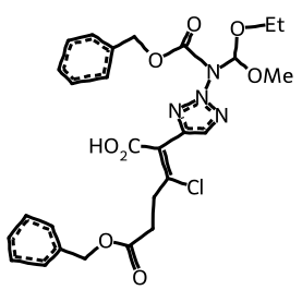 CCOC(OC)N(C(=O)OCc1ccccc1)n1ncc(C(C(=O)O)=C(Cl)CCC(=O)OCc2ccccc2)n1